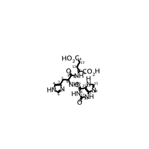 N[C@@H](Cc1c[nH]cn1)C(=O)N[C@@H](CCC(=O)O)C(=O)O.O=c1[nH]c(=O)c2[nH]cnc2[nH]1